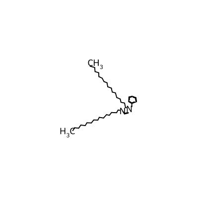 CCCCCCCCCCCCCCCCCC1N(CCCCCCCCCCCCCCCC)C=CN1Cc1ccccc1